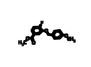 COC(=O)c1ccc(F)c(OCc2ccc(OC)cc2)c1